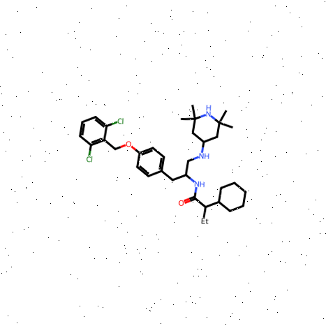 CCC(C(=O)NC(CNC1CC(C)(C)NC(C)(C)C1)Cc1ccc(OCc2c(Cl)cccc2Cl)cc1)C1CCCCC1